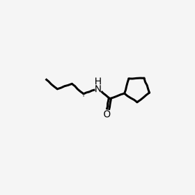 CCC[CH]NC(=O)C1CCCC1